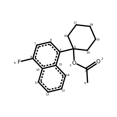 CC(=O)OC1(c2ccc(F)c3ccccc23)CCCCC1